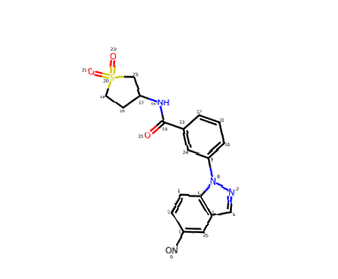 O=Nc1ccc2c(cnn2-c2cccc(C(=O)NC3CCS(=O)(=O)C3)c2)c1